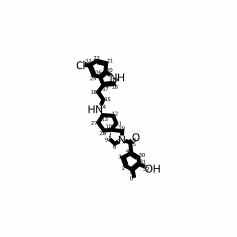 Cc1ccc(C(=O)N2CC[C@]3(CC[C@@H](NCCc4c[nH]c5ccc(Cl)cc45)CC3)C2)cc1O